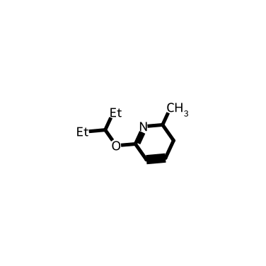 CCC(CC)OC1=NC(C)CC#C1